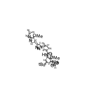 COc1cc(-c2cn(-c3cc(C(=O)Nc4cc(C(C)(C)C)cc(NS(C)(=O)=O)c4OC)ccc3C)nn2)cnc1N(C)C1CC1